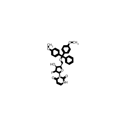 COc1ccc(C(OC[C@H]2O[C@@H](n3c(=O)cc[nH]c3=O)C(F)[C@H]2O)(c2ccccc2)c2ccc(OC)cc2)cc1